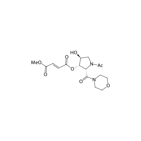 COC(=O)/C=C/C(=O)O[C@H]1[C@@H](C(=O)N2CCOCC2)N(C(C)=O)C[C@@H]1O